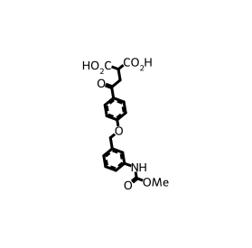 COC(=O)Nc1cccc(COc2ccc(C(=O)CC(C(=O)O)C(=O)O)cc2)c1